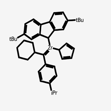 CC(C)c1ccc([C](C2CCCCC2)=[Zr]([CH]2C=CC=C2)[CH]2c3cc(C(C)(C)C)ccc3-c3ccc(C(C)(C)C)cc32)cc1